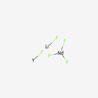 [F][Nd]([F])[F].[F][Y].[Li][F]